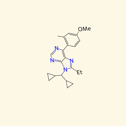 CCc1nc2c(-c3ccc(OC)cc3C)ncnc2n1C(C1CC1)C1CC1